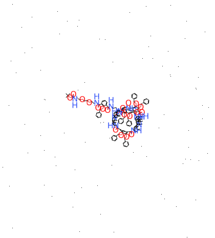 CC(C)(C)OC(=O)NCCOCCOCCNC(=O)c1cccc(C(=O)NCCN2CCNC(=O)c3ccc(c(OCc4ccccc4)c3OCc3ccccc3)C(=O)NCCN3CCNC(=O)c4ccc(c(OCc5ccccc5)c4OCc4ccccc4)C(=O)NCCN(CCNC(=O)c4ccc(c(OCc5ccccc5)c4OCc4ccccc4)C(=O)NCC3)CC2)c1OCc1ccccc1